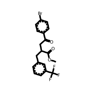 COC(=O)C(CC(=O)c1ccc(Br)cc1)Cc1cccc(C(F)(F)F)c1